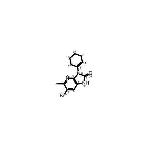 Cc1nc2c(cc1Br)[nH]c(=O)n2C1=CCCCC1